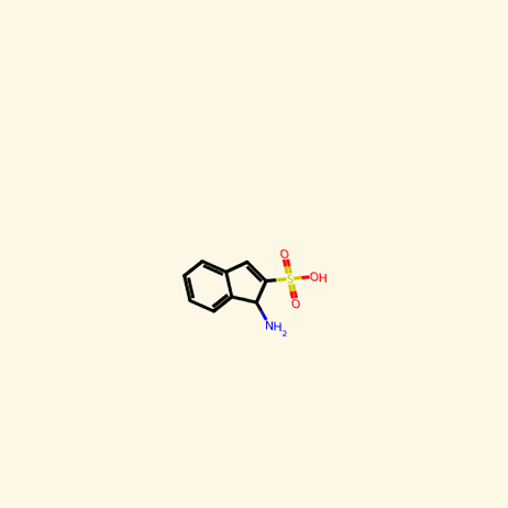 NC1C(S(=O)(=O)O)=Cc2ccccc21